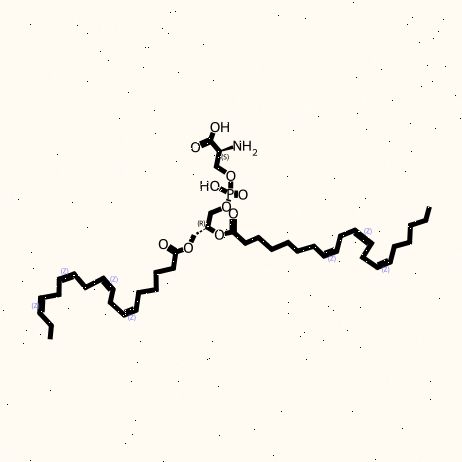 CC/C=C\C/C=C\C/C=C\C/C=C\CCCCC(=O)OC[C@H](COP(=O)(O)OC[C@H](N)C(=O)O)OC(=O)CCCCCC/C=C\C/C=C\C/C=C\CCCCC